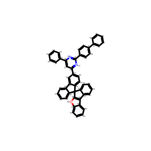 c1ccc(-c2ccc(-c3nc(-c4ccccc4)cc(-c4ccc5c(c4)-c4ccccc4C54c5ccccc5-c5c4oc4ccccc54)n3)cc2)cc1